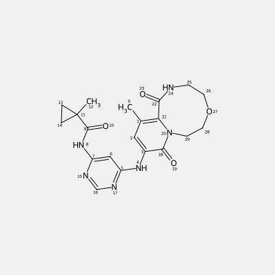 Cc1cc(Nc2cc(NC(=O)C3(C)CC3)ncn2)c(=O)n2c1C(=O)NCCOCC2